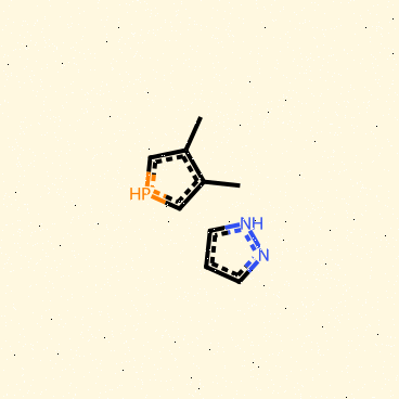 Cc1c[pH]cc1C.c1cn[nH]c1